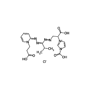 CC(C)C(N=NCC(C(=O)O)[n+]1ccn(C(=O)O)c1)=NN=c1ccccn1CCC(=O)O.[Cl-]